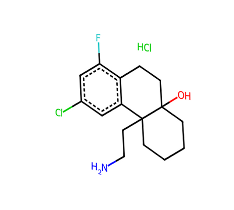 Cl.NCCC12CCCCC1(O)CCc1c(F)cc(Cl)cc12